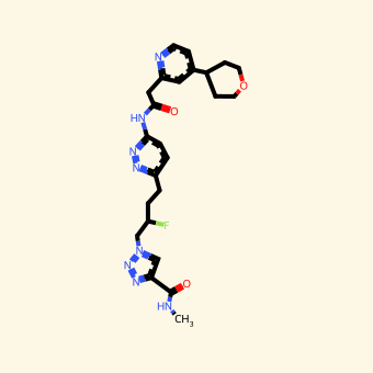 CNC(=O)c1cn(CC(F)CCc2ccc(NC(=O)Cc3cc(C4CCOCC4)ccn3)nn2)nn1